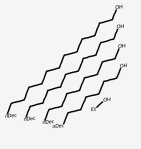 CCCCCCCCCCCCCCCCCCCCCCO.CCCCCCCCCCCCCCCCCCCCO.CCCCCCCCCCCCCCCCCCO.CCCCCCCCCCCCCCCCO.CCO